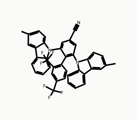 Cc1ccc2c(c1)c1ccccc1n2-c1cc(C#N)cc(-n2c3ccccc3c3cc(C)ccc32)c1-c1ccc(C(F)(F)F)cc1C(F)(F)F